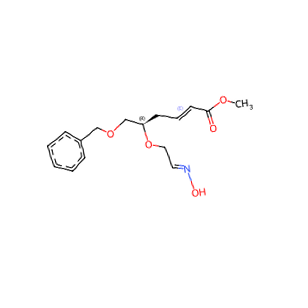 COC(=O)/C=C/C[C@H](COCc1ccccc1)OCC=NO